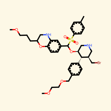 COCCCC1CNc2cc(C(O[C@H]3CNC[C@@H](CBr)[C@@H]3c3ccc(COCCOC)cc3)S(=O)(=O)c3ccc(C)cc3)ccc2O1